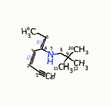 C#C/C=C\C(=C/C)NCC(C)(C)C